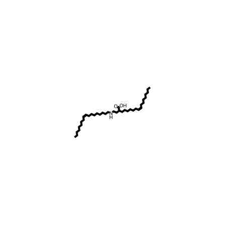 CCCCCCCC/C=C\CCCCCCCCNCCC(CCCCCC/C=C\CCCCCCCC)C(=O)O